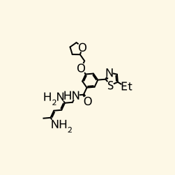 CCc1cnc(-c2cc(OCC3CCCO3)cc(C(=O)NC/C(N)=C/C=C(/C)N)c2)s1